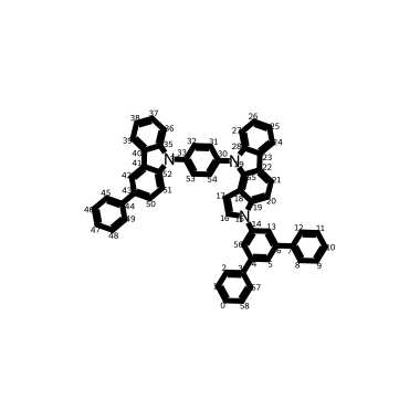 c1ccc(-c2cc(-c3ccccc3)cc(-n3ccc4c3ccc3c5ccccc5n(-c5ccc(-n6c7ccccc7c7cc(-c8ccccc8)ccc76)cc5)c34)c2)cc1